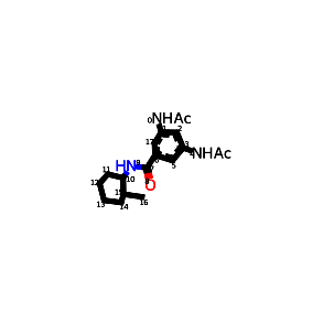 CC(=O)Nc1cc(NC(C)=O)cc(C(=O)NC2CCCCC2C)c1